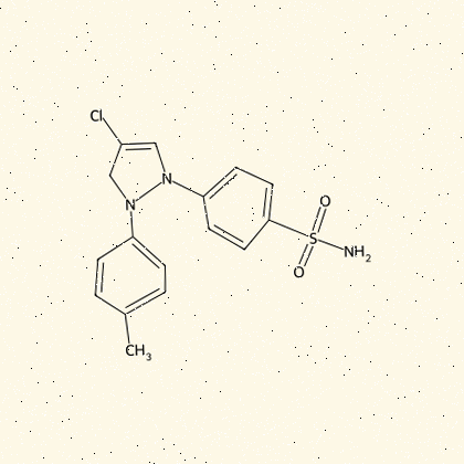 Cc1ccc(N2CC(Cl)=CN2c2ccc(S(N)(=O)=O)cc2)cc1